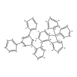 c1ccc(-c2nc(-c3ccccc3)nc(-c3ccccc3-c3cccc4c3-c3ccccc3S4(c3ccccc3)c3ccccc3)n2)cc1